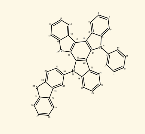 c1ccc(-n2c3ccccc3c3c4c5ccccc5oc4c4c(c5ccccc5n4-c4ccc5sc6ccccc6c5c4)c32)cc1